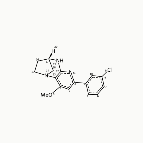 COc1cc(-c2cccc(Cl)c2)nc2c1N1CC[C@@H](C1)N2